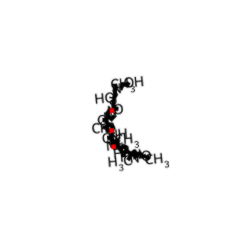 COCCn1cc(-c2ccc(-c3cnc(C(=O)Nc4ccc(C(=O)N5CCN(C(=O)SC[C@@H](O)CCN(C)CCCO)CC5)c(Cl)c4)n3C)c(F)c2F)c(C)n1